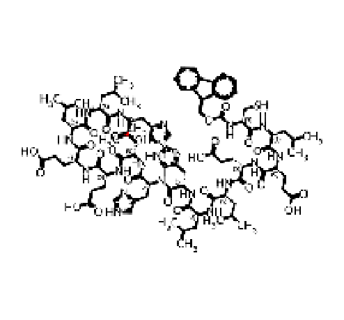 CC(C)C[C@H](NC(=O)[C@H](CC(C)C)NC(=O)[C@H](CCC(=O)O)NC(=O)[C@H](CCC(=O)O)NC(=O)[C@H](CC(C)C)NC(=O)[C@H](Cc1c[nH]cn1)NC(=O)[C@H](Cc1c[nH]cn1)NC(=O)[C@H](CC(C)C)NC(=O)[C@H](CC(C)C)NC(=O)[C@H](CCC(=O)O)NC(=O)[C@H](CCC(=O)O)NC(=O)[C@H](CC(C)C)NC(=O)[C@H](CS)NC(=O)OCC1c2ccccc2-c2ccccc21)C(=O)N[C@@H](Cc1c[nH]cn1)C(=O)O